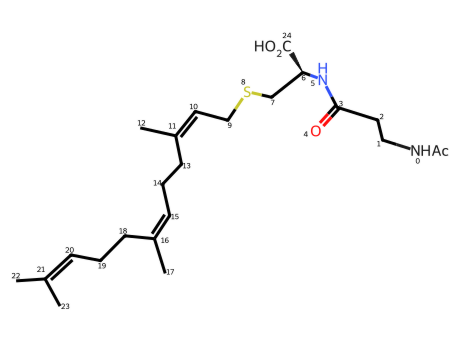 CC(=O)NCCC(=O)N[C@@H](CSCC=C(C)CCC=C(C)CCC=C(C)C)C(=O)O